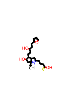 C#CC12CC(O)C(C=CC(O)CCc3ccco3)C1CC(CCCC(O)=S)=N2